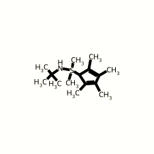 CC1=C(C)C(S(C)(C)NC(C)(C)C)C(C)=C1C